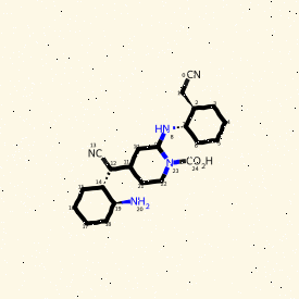 N#CC[C@H]1CCCC[C@@H]1NC1CC(C(C#N)[C@H]2CCCC[C@@H]2N)CCN1C(=O)O